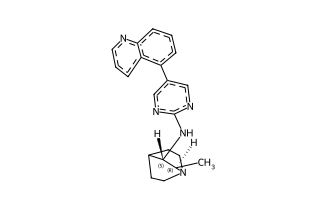 C[C@@H]1[C@@H](Nc2ncc(-c3cccc4ncccc34)cn2)C2CCN1CC2